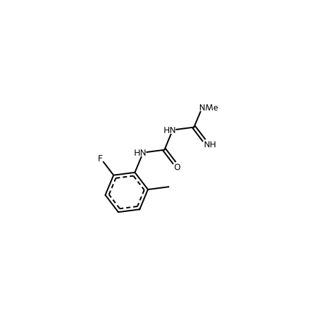 CNC(=N)NC(=O)Nc1c(C)cccc1F